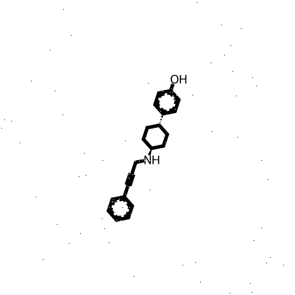 Oc1ccc([C@H]2CC[C@H](NCC#Cc3ccccc3)CC2)cc1